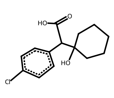 O=C(O)C(c1ccc(Cl)cc1)C1(O)CCCCC1